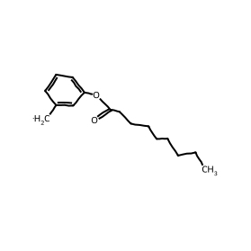 [CH2]c1cccc(OC(=O)CCCCCCCC)c1